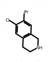 CC(C)c1cc2c(cc1Cl)CCNC2